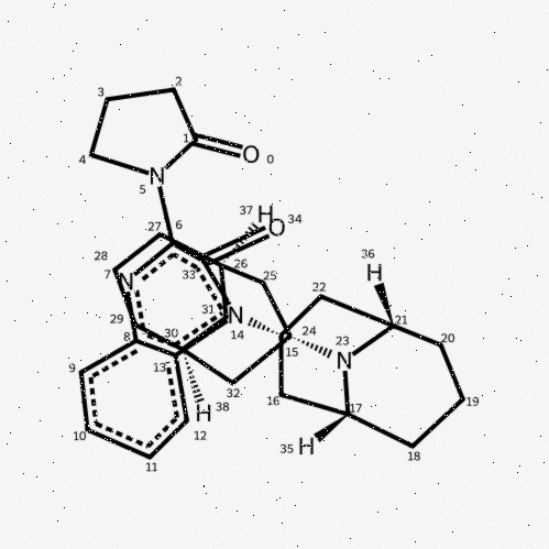 O=C1CCCN1c1nc2ccccc2n([C@H]2C[C@H]3CCC[C@@H](C2)N3[C@H]2C[C@@H]3CCC[C@@H](C3)C2)c1=O